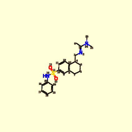 C/C(=N\CC1CCCc2cc(S(=O)(=O)Nc3ccccc3)ccc21)N(C)C